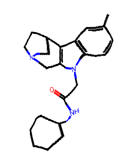 Cc1ccc2c(c1)c1c(n2CC(=O)NC2CCCCC2)CN2CCC1C2